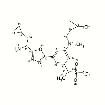 CC1CC1CN(C)c1cc(-c2nnc(C(N)CC3CC3)o2)cc(N(C)S(C)(=O)=O)n1